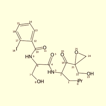 CC(C)CC(NC(=O)C(CO)NC(=O)c1ccccc1I)C(=O)C1(CO)CO1